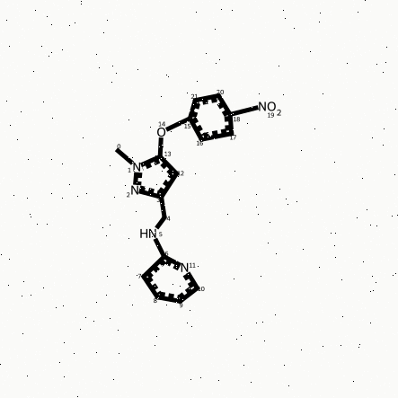 Cn1nc(CNc2ccccn2)cc1Oc1ccc([N+](=O)[O-])cc1